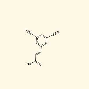 N#Cc1cc(C#N)cc(/C=C/C(=O)O)c1